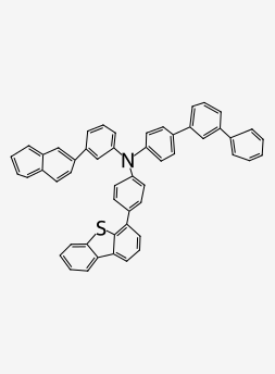 c1ccc(-c2cccc(-c3ccc(N(c4ccc(-c5cccc6c5sc5ccccc56)cc4)c4cccc(-c5ccc6ccccc6c5)c4)cc3)c2)cc1